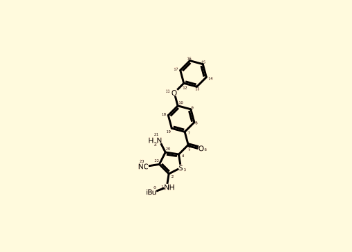 CCC(C)Nc1sc(C(=O)c2ccc(Oc3ccccc3)cc2)c(N)c1C#N